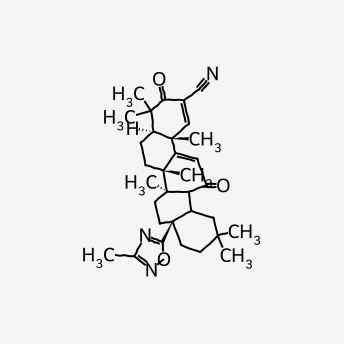 Cc1noc([C@]23CCC(C)(C)CC2C2C(=O)C=C4[C@@]5(C)C=C(C#N)C(=O)C(C)(C)[C@@H]5CC[C@@]4(C)[C@]2(C)CC3)n1